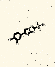 NS(=O)(=O)c1nn2cc(-c3ccc(Cl)c(Cl)c3)nc2s1